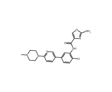 CN1CCN(c2ccc(-c3ccc(Cl)c(NC(=O)c4coc(N)n4)c3)cn2)CC1